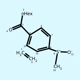 C=C.CCCCCCC(=O)c1ccc([S+](C)[O-])cc1